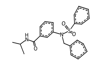 CC(C)NC(=O)c1cccc(N(Cc2ccccc2)S(=O)(=O)c2ccccc2)c1